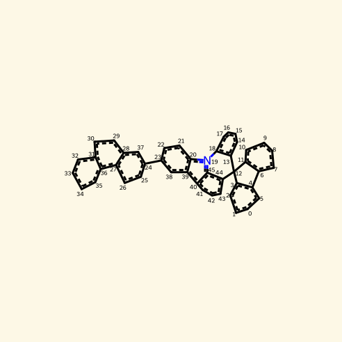 c1ccc2c(c1)-c1ccccc1C21c2ccccc2-n2c3ccc(-c4ccc5c(ccc6ccccc65)c4)cc3c3cccc1c32